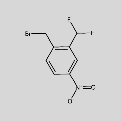 O=[N+]([O-])c1ccc(CBr)c(C(F)F)c1